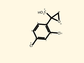 O=C(O)C1(c2ccc(Cl)cc2Cl)CO1